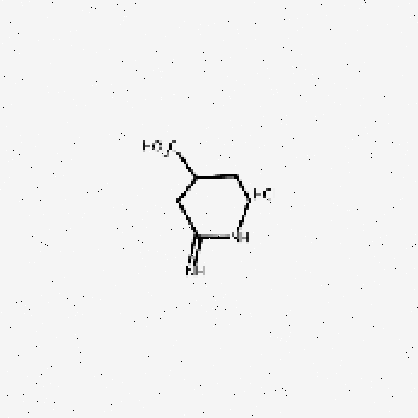 Cl.N=C1CC(C(=O)O)CCN1